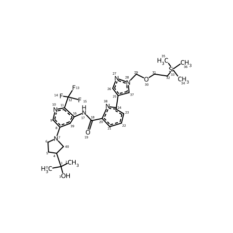 CC(C)(O)C1CCN(c2cnc(C(F)(F)F)c(NC(=O)c3cccc(-c4cnn(COCC[Si](C)(C)C)c4)n3)c2)C1